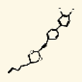 C=CCCCC1COC(C#Cc2ccc(-c3ccc(F)c(F)c3)cc2)OC1